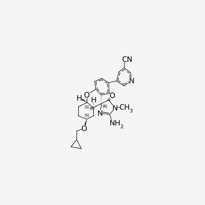 CN1C(=O)[C@]2(N=C1N)c1cc(-c3cncc(C#N)c3)ccc1O[C@H]1CC[C@H](OCC3CC3)C[C@@H]12